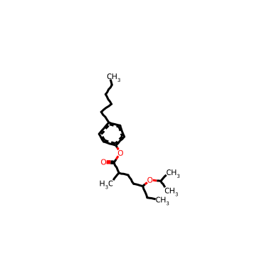 CCCCCc1ccc(OC(=O)C(C)CCC(CC)OC(C)C)cc1